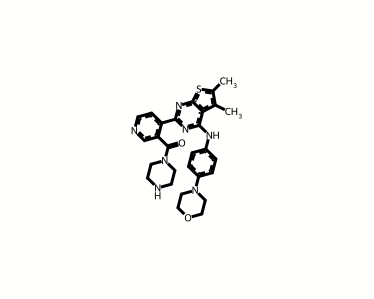 Cc1sc2nc(-c3ccncc3C(=O)N3CCNCC3)nc(Nc3ccc(N4CCOCC4)cc3)c2c1C